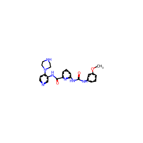 COc1cccc(NC(=O)Nc2cccc(C(=O)Nc3cnccc3N3CCNCC3)n2)c1